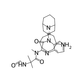 CN(C(=O)C(C)(C)NC=O)c1nc2ccccc2n(C2CC3CCCC(C2)N3[C@H]2CCCCCC(N)C2)c1=O